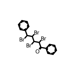 O=C(c1ccccc1)C(Br)C(Br)C(Br)C(Br)c1ccccc1